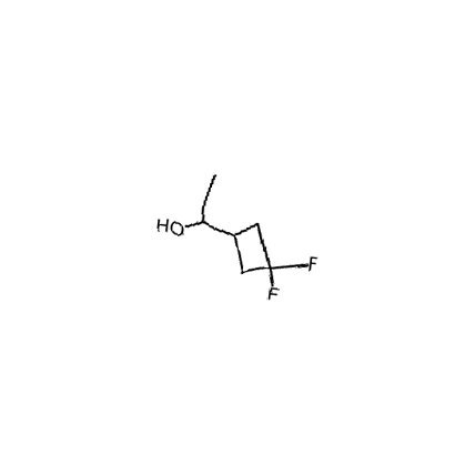 CC(O)C1CC(F)(F)C1